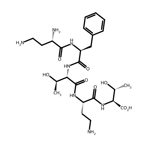 C[C@@H](O)[C@H](NC(=O)[C@H](CCN)NC(=O)[C@@H](NC(=O)[C@H](Cc1ccccc1)NC(=O)[C@@H](N)CCN)[C@@H](C)O)C(=O)O